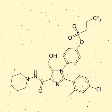 Cc1cc(Cl)ccc1-c1nc(C(=O)NN2CCCCC2)c(CO)n1-c1ccc(OS(=O)(=O)CCC(F)(F)F)cc1